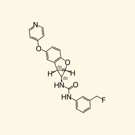 O=C(Nc1cccc(CF)c1)N[C@@H]1[C@H]2Oc3ccc(Oc4ccncc4)cc3[C@@H]12